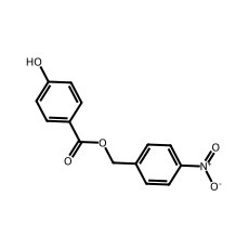 O=C(OCc1ccc([N+](=O)[O-])cc1)c1ccc(O)cc1